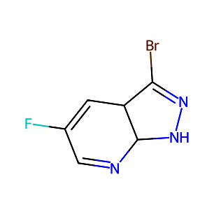 FC1=CC2C(Br)=NNC2N=C1